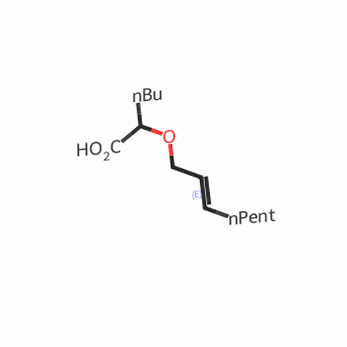 CCCCC/C=C/COC(CCCC)C(=O)O